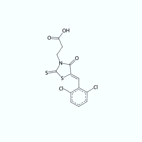 O=C(O)CCN1C(=O)/C(=C/c2c(Cl)cccc2Cl)SC1=S